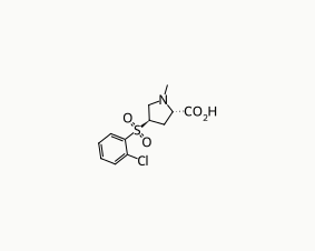 CN1C[C@H](S(=O)(=O)c2ccccc2Cl)C[C@H]1C(=O)O